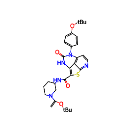 C=C(OC(C)(C)C)N1CCC[C@@H](NC(=O)c2sc3nccc4c3c2NC(=O)N4c2ccc(OC(C)(C)C)cc2)C1